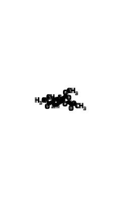 COC(=O)COc1c(C(=O)OC)sc2cc(C(=O)N(C)C)ccc12